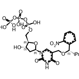 CC(C)[C@H](OCc1cn([C@H]2C[C@H](O)[C@@H](COP(=O)(O)OP(=O)(O)OP(=O)(O)O)O2)c(=O)[nH]c1=O)c1ccccc1[N+](=O)[O-]